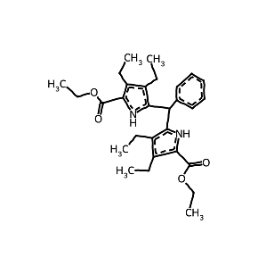 CCOC(=O)c1[nH]c(C(c2ccccc2)c2[nH]c(C(=O)OCC)c(CC)c2CC)c(CC)c1CC